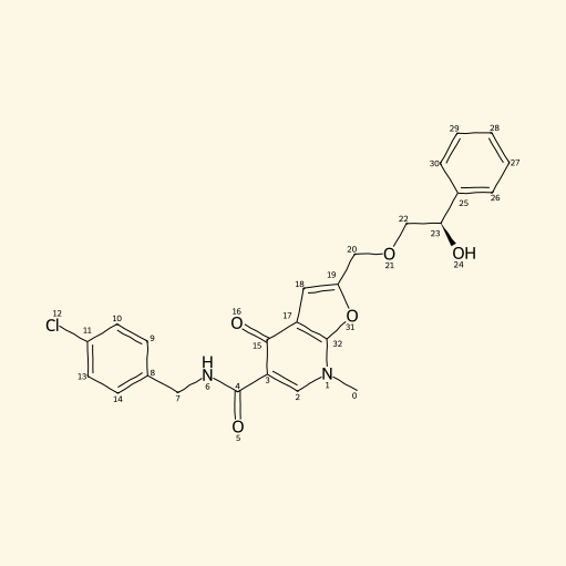 Cn1cc(C(=O)NCc2ccc(Cl)cc2)c(=O)c2cc(COC[C@H](O)c3ccccc3)oc21